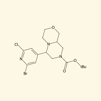 CC(C)(C)OC(=O)N1CC2COCCN2C(c2cc(Cl)nc(Br)c2)C1